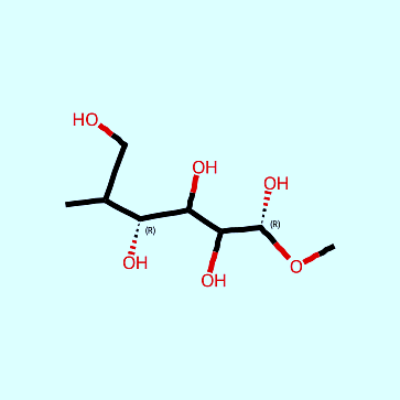 CO[C@@H](O)C(O)C(O)[C@H](O)C(C)CO